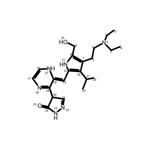 CCN(CC)CCc1c(CO)[nH]c(C=C2NC=CN=C2C2C=NNC2=O)c1C(C)C